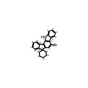 Brc1cc2c(c3[nH]c4ccccc4c13)-c1ccccc1C21CCCCC1